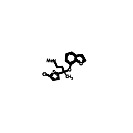 CNCC[C@@](C)(Oc1cccc2ccoc12)c1ccc(Cl)s1